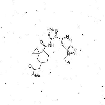 COC(=O)CC1CCN(C(=O)Nc2c[nH]nc2-c2cc3c(cn2)cnn3CC(C)C)C2(CC2)C1